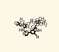 CC1(Cn2nc(Cl)cc2Nc2nccc(-c3cc(C#N)c4c(c3)[C@@](C)(CO[Si](C)(C)C(C)(C)C)CN4)n2)COC1